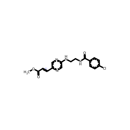 COC(=O)/C=C/c1cnc(NCCNC(=O)c2ccc(Cl)cc2)cn1